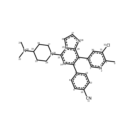 Cc1ncc(-c2c(-c3ccc(C#N)cc3)nc(N3CCC(N(C)C)CC3)n3ccnc23)cc1Cl